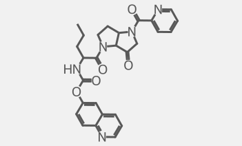 CCCC(NC(=O)Oc1ccc2ncccc2c1)C(=O)N1CCC2C1C(=O)CN2C(=O)c1ccccn1